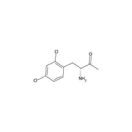 CC(=O)[C@H](N)Cc1ccc(Cl)cc1Cl